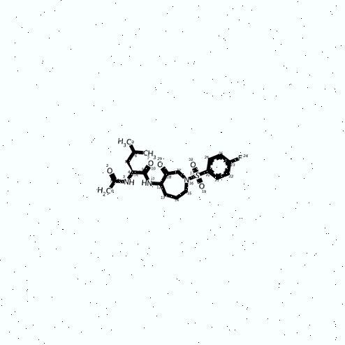 [CH2]C(=O)N[C@@H](CC(C)C)C(=O)NC1CCCN(S(=O)(=O)c2ccc(F)cc2)CC1=O